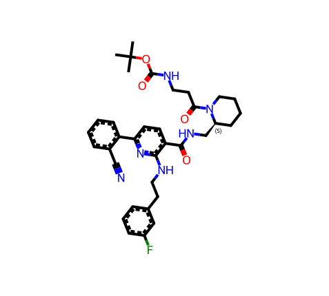 CC(C)(C)OC(=O)NCCC(=O)N1CCCC[C@H]1CNC(=O)c1ccc(-c2ccccc2C#N)nc1NCCc1cccc(F)c1